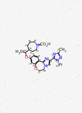 Cc1nc(-c2cn3c(n2)-c2ccc(OC(C)C4CCCN(C(=O)O)CC4)cc2OCC3)n(C(C)C)n1